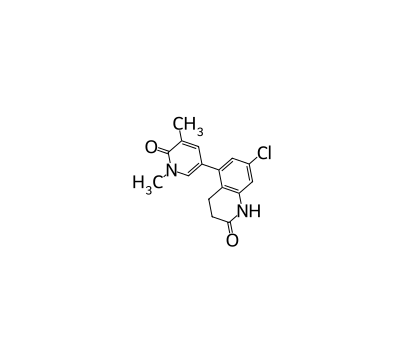 Cc1cc(-c2cc(Cl)cc3c2CCC(=O)N3)cn(C)c1=O